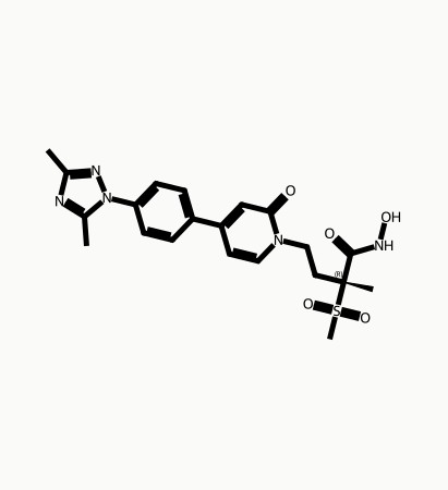 Cc1nc(C)n(-c2ccc(-c3ccn(CC[C@](C)(C(=O)NO)S(C)(=O)=O)c(=O)c3)cc2)n1